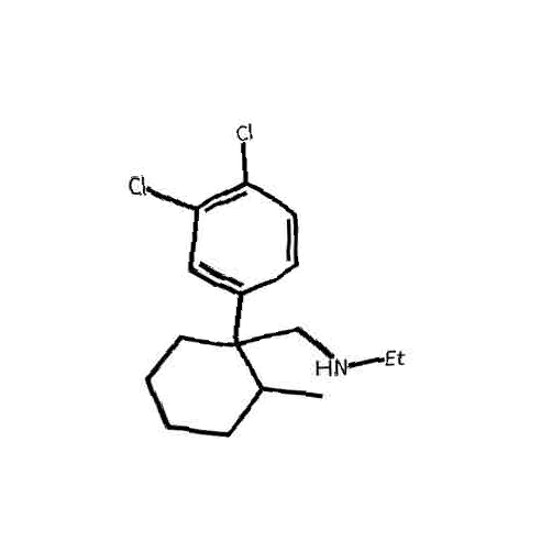 CCNCC1(c2ccc(Cl)c(Cl)c2)CCCCC1C